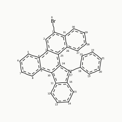 Brc1cc2c3ccccc3c3c4ccccc4n(-c4ccccc4)c3c2c2ccccc12